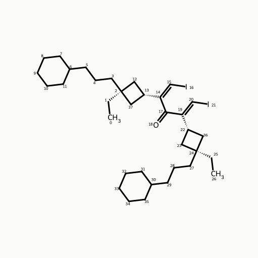 CC[C@]1(CCCC2CCCCC2)C[C@H](C(=CI)C(=O)C(=CI)[C@H]2C[C@](CC)(CCCC3CCCCC3)C2)C1